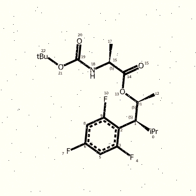 CC(C)[C@@H](c1c(F)cc(F)cc1F)[C@H](C)OC(=O)[C@H](C)NC(=O)OC(C)(C)C